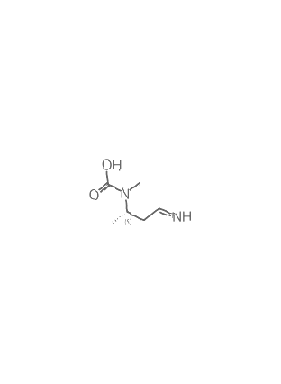 C[C@@H](CC=N)N(C)C(=O)O